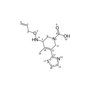 C=CCONC1CN(C(=O)O)CC(c2nccs2)=C1C